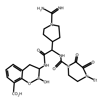 CCN1CCN(C(=O)NC(C(=O)NC2Cc3cccc(C(=O)O)c3OB2O)C2CCN(C(=N)N)CC2)C(=O)C1=O